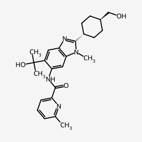 Cc1cccc(C(=O)Nc2cc3c(cc2C(C)(C)O)nc([C@H]2CC[C@H](CO)CC2)n3C)n1